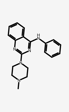 CN1CCN(c2nc(Nc3ccccc3)c3ccccc3n2)CC1